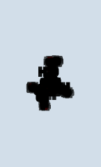 CC(C)(C)OC(=O)CN(CCNC(=O)OCC1c2ccccc2-c2ccccc21)C(=O)Cn1cnc2c(NC(=O)OCc3ccccc3)nc(NCCN/C(=N\C(=O)OCc3ccccc3)NC(=O)OCc3ccccc3)nc21